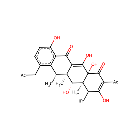 CC(=O)Cc1ccc(O)c2c1[C@@H](C)[C@@]1(C)C(=C(O)[C@@]3(O)C(=O)C(C(C)=O)=C(O)C(C(C)C)[C@@]3(C)[C@@H]1O)C2=O